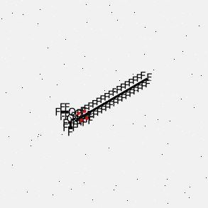 FC(F)(F)C(F)(F)O[Si](OC(F)(F)C(F)(F)F)(OC(F)(F)C(F)(F)F)C(F)(F)C(F)(F)C(F)(F)C(F)(F)C(F)(F)C(F)(F)C(F)(F)C(F)(F)C(F)(F)C(F)(F)C(F)(F)C(F)(F)C(F)(F)C(F)(F)C(F)(F)C(F)(F)C(F)(F)C(F)(F)F